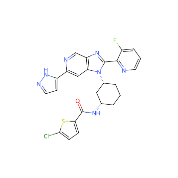 O=C(N[C@H]1CCC[C@@H](n2c(-c3ncccc3F)nc3cnc(-c4ccn[nH]4)cc32)C1)c1ccc(Cl)s1